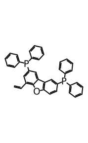 C=Cc1cc(P(c2ccccc2)c2ccccc2)cc2c1oc1ccc(P(c3ccccc3)c3ccccc3)cc12